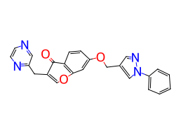 O=c1c(Cc2cnccn2)coc2cc(OCc3cnn(-c4ccccc4)c3)ccc12